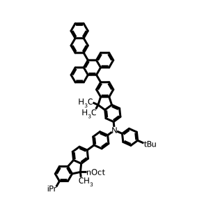 CCCCCCCCC1(C)c2cc(-c3ccc(N(c4ccc(C(C)(C)C)cc4)c4ccc5c(c4)C(C)(C)c4cc(-c6c7ccccc7c(-c7ccc8ccccc8c7)c7ccccc67)ccc4-5)cc3)ccc2-c2ccc(C(C)C)cc21